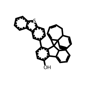 Oc1ccc(-c2ccc3sc4ccccc4c3c2)c2c1C1=CC=CCC1C21C2=CC=CCC3C=CC#CC231